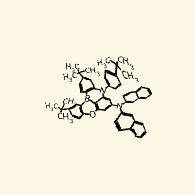 CC(C)(C)c1ccc(N2c3cc(C(C)(C)C)ccc3B3c4cc(C(C)(C)C)ccc4Oc4cc(N(c5ccc6ccccc6c5)c5ccc6ccccc6c5)cc2c43)cc1